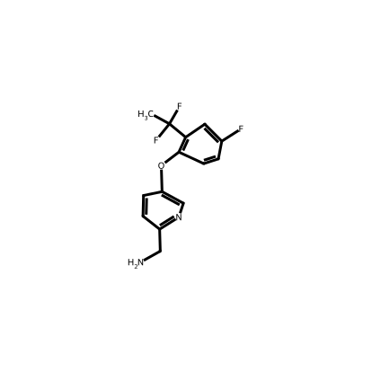 CC(F)(F)c1cc(F)ccc1Oc1ccc(CN)nc1